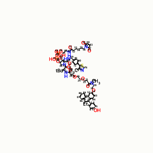 CC/C(=C(\c1ccc(O)cc1)c1ccc(OCCN(C)C(=O)CCOCCOCCC(=O)N[C@H](C(=O)N2C[C@H](OP(=O)(O)OP(=O)(O)OCCNC(=O)CCCCCN3C(=O)C=CC3=O)C[C@H]2C(=O)NCc2ccc(-c3scnc3C)cc2)C(C)(C)C)cc1)c1ccccc1